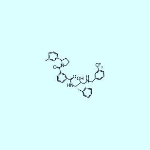 Cc1cccc(C2CCCN2C(=O)c2cccc(C(=O)N[C@@H](Cc3ccccc3)[C@@H](O)CNCc3cccc(C(F)(F)F)c3)c2)c1